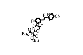 CC(C)(C)OC(=O)N(C(=O)OC(C)(C)C)C1=N[C@](C)(c2cc(/C=C(\F)c3ccc(C#N)cn3)ccc2F)C(F)(F)CO1